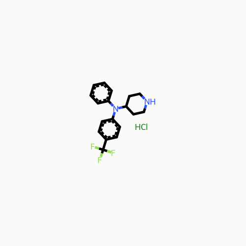 Cl.FC(F)(F)c1ccc(N(c2ccccc2)C2CCNCC2)cc1